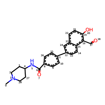 CN1CCC(NC(=O)c2ccc(-c3ccc4c(C=O)c(O)ccc4c3)cc2)CC1